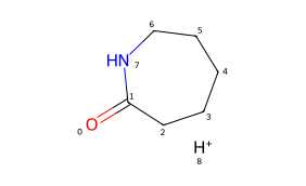 O=C1CCCCCN1.[H+]